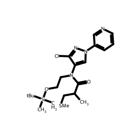 CSCC(C)C(=O)N(CCO[Si](C)(C)C(C)(C)C)c1cn(-c2cccnc2)nc1Cl